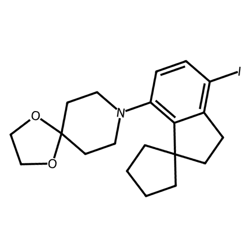 Ic1ccc(N2CCC3(CC2)OCCO3)c2c1CCC21CCCC1